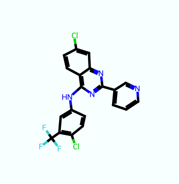 FC(F)(F)c1cc(Nc2nc(-c3cccnc3)nc3cc(Cl)ccc23)ccc1Cl